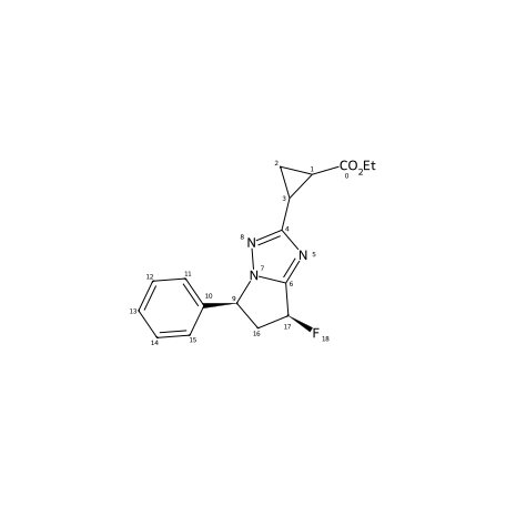 CCOC(=O)C1CC1c1nc2n(n1)[C@H](c1ccccc1)C[C@@H]2F